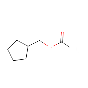 [CH2]C(=O)OCC1CCCC1